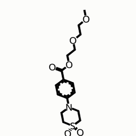 COCCOCCOC(=O)c1ccc(N2CCS(=O)(=O)CC2)cc1